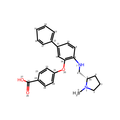 BN1CCC[C@H]1CNc1ccc(-c2ccccc2)cc1Oc1ccc(C(=O)O)cc1